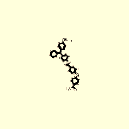 COc1ccc(C(c2ccccc2)c2ccc(OC(=O)c3ccc(Oc4ccc(C(C)=O)cc4)cc3)cc2)cc1